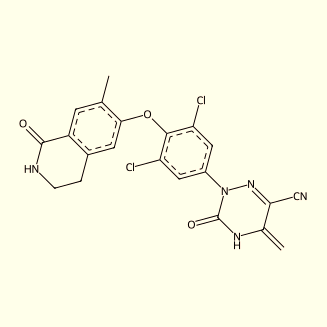 C=C1NC(=O)N(c2cc(Cl)c(Oc3cc4c(cc3C)C(=O)NCC4)c(Cl)c2)N=C1C#N